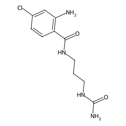 NC(=O)NCCCNC(=O)c1ccc(Cl)cc1N